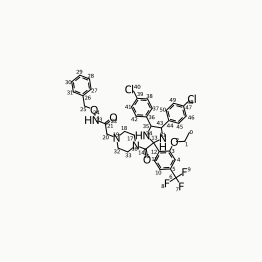 CCOc1cc(C(F)(F)F)ccc1C1(C(=O)N2CCN(CC(=O)NOCc3ccccc3)CC2)NC(c2ccc(Cl)cc2)C(c2ccc(Cl)cc2)N1